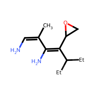 CCC(CC)/C(=C(N)/C(C)=C\N)C1CO1